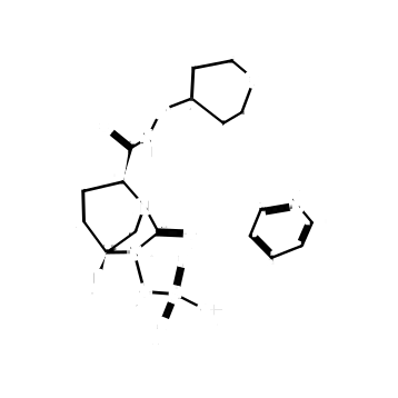 O=C(NOC1CCOCC1)[C@@H]1CC[C@@H]2CN1C(=O)N2OS(=O)(=O)O.c1ccncc1